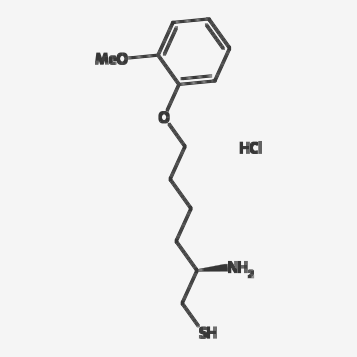 COc1ccccc1OCCCC[C@@H](N)CS.Cl